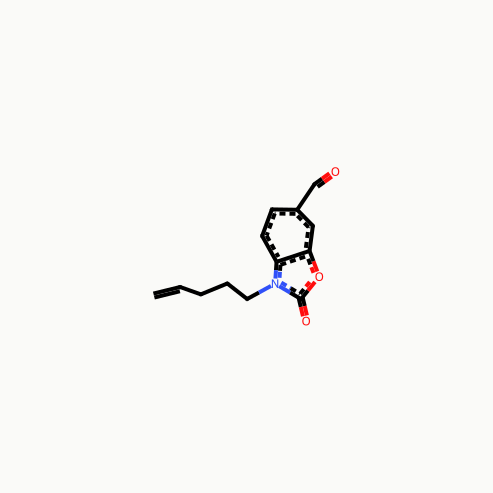 C=CCCCn1c(=O)oc2cc(C=O)ccc21